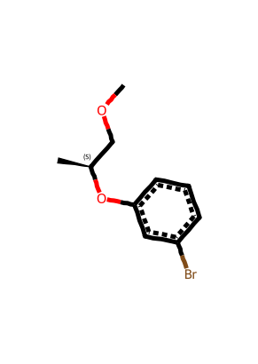 COC[C@H](C)Oc1cccc(Br)c1